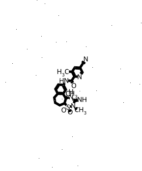 Cc1cc(C#N)cnc1C(=O)Nc1ccc2c(c1)[C@@]1(C)NC(=N)N(C)S(=O)(=O)C1CCC2